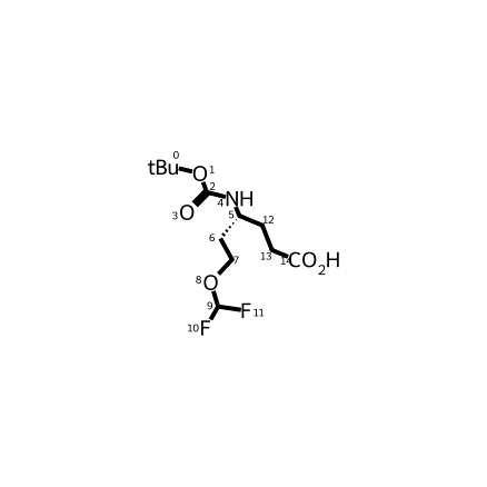 CC(C)(C)OC(=O)N[C@@H](CCOC(F)F)CCC(=O)O